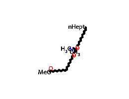 CCCCCCC/C=C\CCCCCCCCCOC(CCOCCCCCCC/C=C\CCCCCCC(=O)OC)CN(C)C